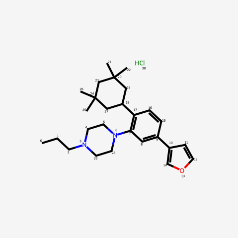 CCCN1CCN(c2cc(-c3ccoc3)ccc2C2CC(C)(C)CC(C)(C)C2)CC1.Cl